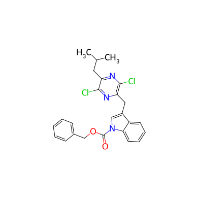 CC(C)Cc1nc(Cl)c(Cc2cn(C(=O)OCc3ccccc3)c3ccccc23)nc1Cl